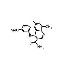 COc1cccc(Nc2c(C(N)=O)cnc3c(C)cc(I)cc23)c1